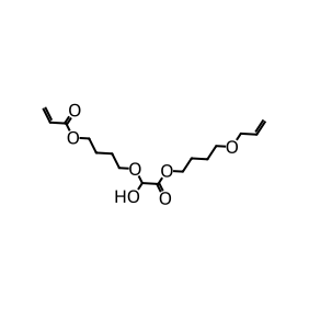 C=CCOCCCCOC(=O)C(O)OCCCCOC(=O)C=C